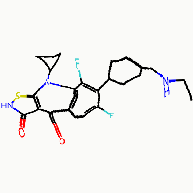 CCNCC1CCC(c2c(F)cc3c(=O)c4c(=O)[nH]sc4n(C4CC4)c3c2F)C1